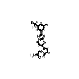 Cc1cc(-c2ncn(/C=C\C(=O)N3CCC(=O)N3CC(N)=O)n2)cc(C(F)(F)F)c1